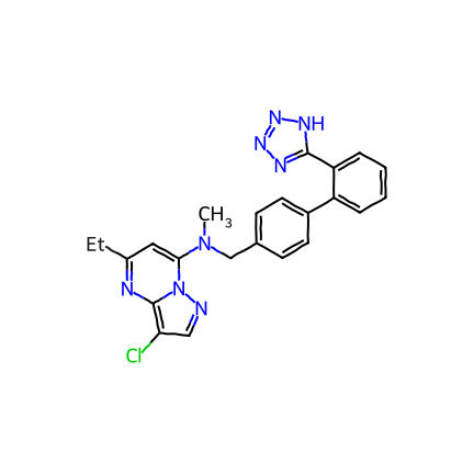 CCc1cc(N(C)Cc2ccc(-c3ccccc3-c3nnn[nH]3)cc2)n2ncc(Cl)c2n1